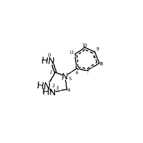 N=C1NNCN1c1ccccc1